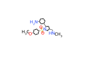 CNCc1cc(-c2cccc(N)c2)n(S(=O)(=O)c2ccc(OC)cc2)c1